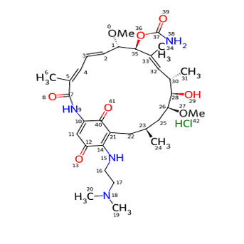 CO[C@H]1/C=C/C=C(\C)C(=O)NC2=CC(=O)C(NCCN(C)C)=C(C[C@H](C)C[C@H](OC)[C@H](O)[C@@H](C)/C=C(\C)[C@@H]1OC(N)=O)C2=O.Cl